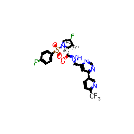 C[C@H]1[C@@H](F)CN(S(=O)(=O)c2ccc(F)cc2)[C@H]1C(=O)NCc1cc(-c2ccc(C(F)(F)F)nc2)ncn1